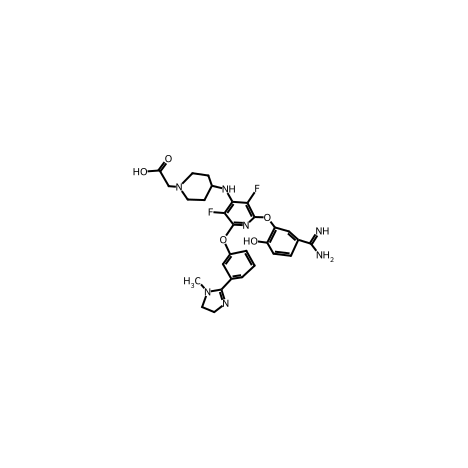 CN1CCN=C1c1cccc(Oc2nc(Oc3cc(C(=N)N)ccc3O)c(F)c(NC3CCN(CC(=O)O)CC3)c2F)c1